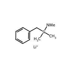 C[N-][Si](C)(C)Cc1ccccc1.[Li+]